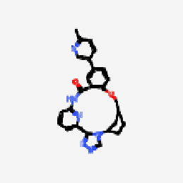 Cc1ccc(-c2ccc3c(c2)C(=O)Nc2cccc(n2)-c2nncn2C2CCC(CO3)C2)cn1